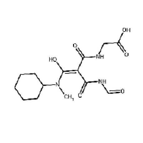 CN(/C(O)=C(\C(=O)NC=O)C(=O)NCC(=O)O)C1CCCCC1